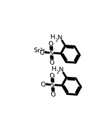 Nc1ccccc1S(=O)(=O)[O-].Nc1ccccc1S(=O)(=O)[O-].[Sr+2]